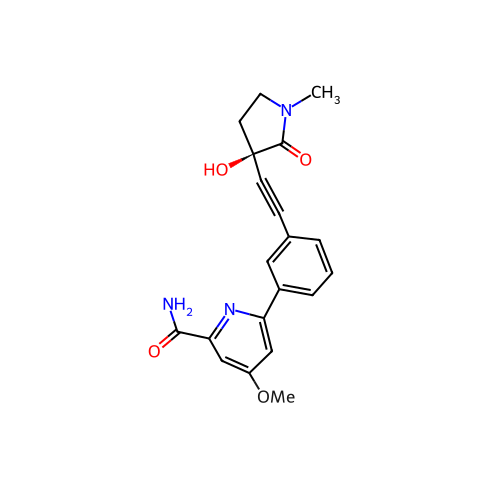 COc1cc(C(N)=O)nc(-c2cccc(C#C[C@]3(O)CCN(C)C3=O)c2)c1